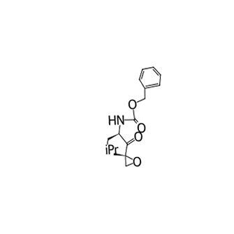 CC(C)C[C@@H](NC(=O)OCc1ccccc1)C(=O)[C@@]1(C)CO1